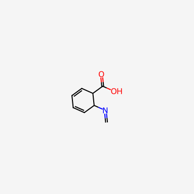 C=NC1C=CC=CC1C(=O)O